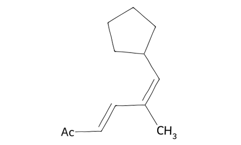 CC(=O)C=CC(C)=CC1CCCC1